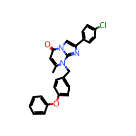 Cc1cc(=O)n2cc(-c3ccc(Cl)cc3)nc2n1Cc1ccc(Oc2ccccc2)cc1